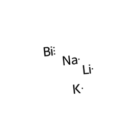 [Bi].[K].[Li].[Na]